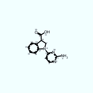 Nc1nccc(N2CC(C(=O)O)c3ccccc32)n1